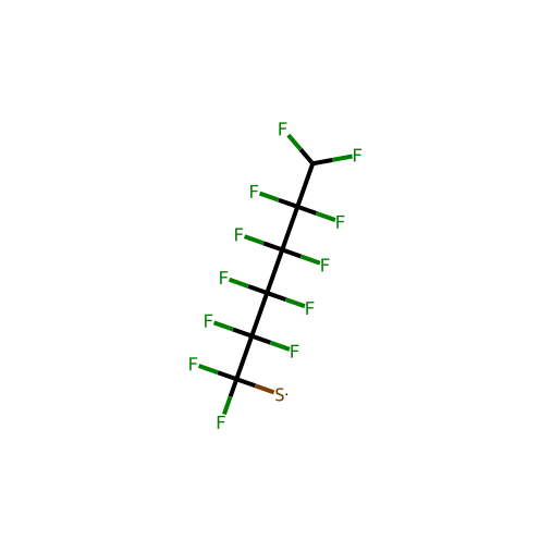 FC(F)C(F)(F)C(F)(F)C(F)(F)C(F)(F)C(F)(F)[S]